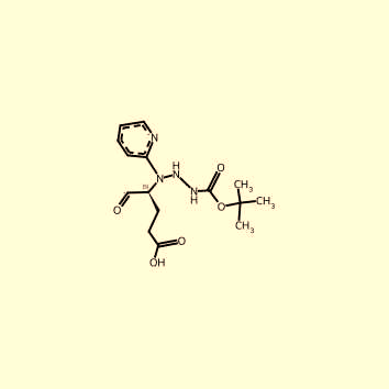 CC(C)(C)OC(=O)NNN(c1ccccn1)[C@H]([C]=O)CCC(=O)O